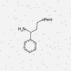 CCCCCCCC([SiH3])c1ccccc1